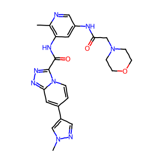 Cc1ncc(NC(=O)CN2CCOCC2)cc1NC(=O)c1nnc2cc(-c3cnn(C)c3)ccn12